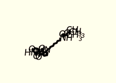 CC(C)(C)OCC(=O)NCCCCCCCCNc1cccc2c1C(=O)N(C1CCC(=O)NC1=O)C2=O